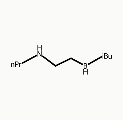 CCCNCCBC(C)CC